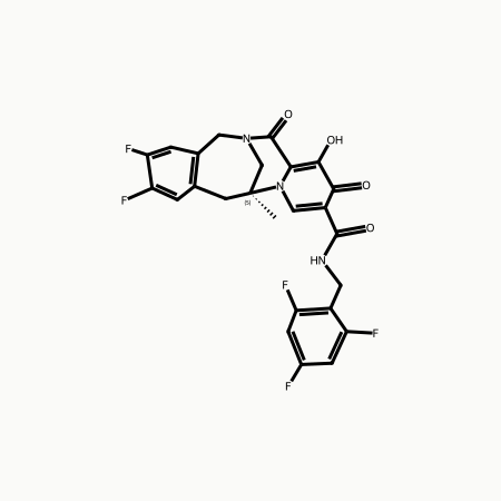 C[C@]12Cc3cc(F)c(F)cc3CN(C1)C(=O)c1c(O)c(=O)c(C(=O)NCc3c(F)cc(F)cc3F)cn12